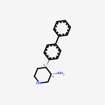 N[C@@H]1CNCC[C@@H]1c1ccc(-c2ccccc2)cc1